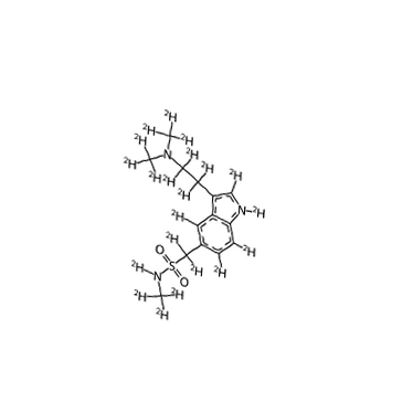 [2H]c1c(C([2H])([2H])S(=O)(=O)N([2H])C([2H])([2H])[2H])c([2H])c2c(C([2H])([2H])C([2H])([2H])N(C([2H])([2H])[2H])C([2H])([2H])[2H])c([2H])n([2H])c2c1[2H]